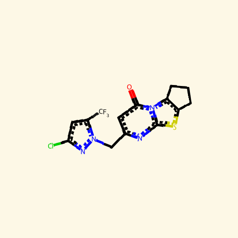 O=c1cc(Cn2nc(Cl)cc2C(F)(F)F)nc2sc3c(n12)CCC3